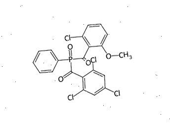 COc1cccc(Cl)c1C(=O)P(=O)(C(=O)c1c(Cl)cc(Cl)cc1Cl)c1ccccc1